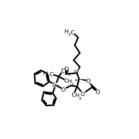 CCCCCC[C@H](C=O)[C@H]1OC(=O)OC1(C)CO[Si](c1ccccc1)(c1ccccc1)C(C)(C)C